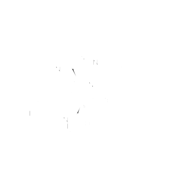 Cc1cc(C(F)(F)F)cc(N2C(=O)[C@@H](C(N)=O)C[C@H]2C(=O)N(C)c2ccc(F)c(Cl)c2)n1